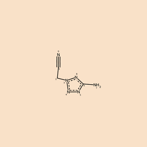 N#CCn1nnc(N)n1